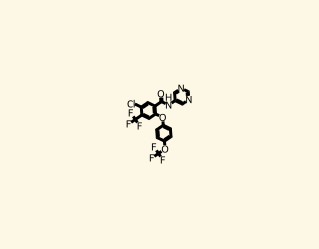 O=C(Nc1cncnc1)c1cc(Cl)c(C(F)(F)F)cc1Oc1ccc(OC(F)(F)F)cc1